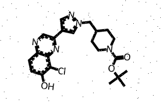 CC(C)(C)OC(=O)N1CCC(Cn2cc(-c3cnc4ccc(O)c(Cl)c4n3)cn2)CC1